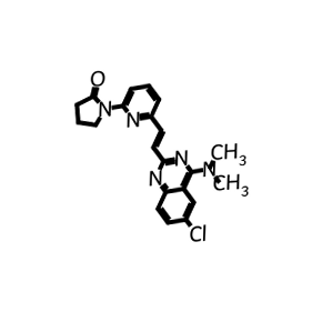 CN(C)c1nc(C=Cc2cccc(N3CCCC3=O)n2)nc2ccc(Cl)cc12